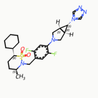 C[C@H]1CC[C@H](C2CCCCC2)S(=O)(=O)N1Cc1cc(F)c(N2C[C@@H]3[C@H](C2)[C@H]3n2cnnc2)cc1F